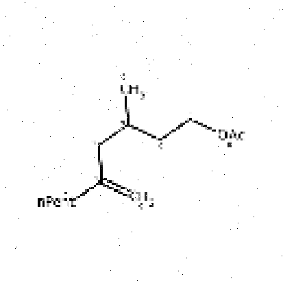 C=C(CCCCC)CC(C)CCOC(C)=O